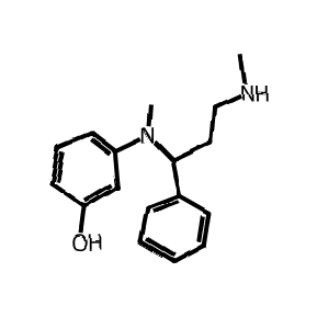 CNCCC(c1ccccc1)N(C)c1cccc(O)c1